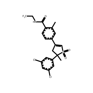 Cc1cc(C2=CS(=O)(=O)C(C)(c3cc(Cl)cc(Cl)c3)C2)ccc1C(=O)NCC(F)(F)F